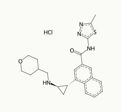 Cc1nnc(NC(=O)c2cc([C@@H]3C[C@H]3NCC3CCOCC3)c3ccccc3c2)s1.Cl